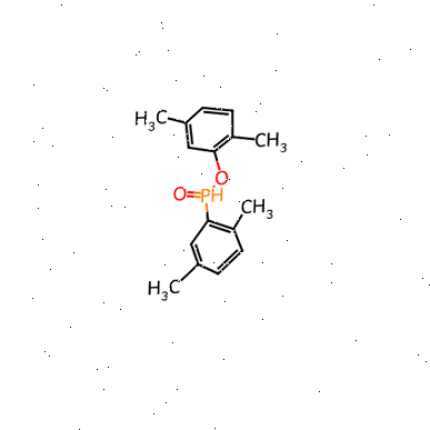 Cc1ccc(C)c(O[PH](=O)c2cc(C)ccc2C)c1